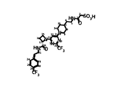 O=C(CS(=O)(=O)O)NCCC1CCN(c2cc(N3CC[C@H]3C(=O)NCCc3ccc(C(F)(F)F)cc3)nc(C(F)(F)F)n2)CC1